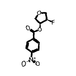 O=C(O[C@H]1COC[C@H]1F)c1ccc([N+](=O)[O-])cc1